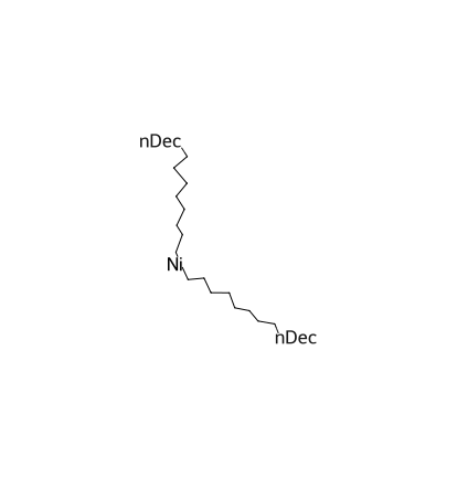 CCCCCCCCCCCCCCCCC[CH2][Ni][CH2]CCCCCCCCCCCCCCCCC